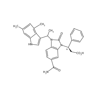 Cc1cc(C)c2c(C(C)n3c(=O)n([C@H](CC(=O)O)c4ccccc4)c4cc(C(N)=O)ccc43)c[nH]c2c1